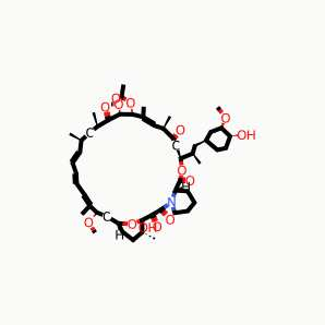 CO[C@H]1C[C@@H]2CC[C@@H](C)[C@@](O)(O2)C(=O)C(=O)N2CCCC[C@H]2C(=O)O[C@H]([C@H](C)C[C@@H]2CC[C@@H](O)[C@H](OC)C2)CC(=O)[C@H](C)/C=C(\C)[C@@H](OC(C)=O)[C@@H](OC)C(=O)[C@H](C)C[C@H](C)/C=C/C=C/C=C/1C